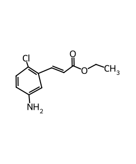 CCOC(=O)C=Cc1cc(N)ccc1Cl